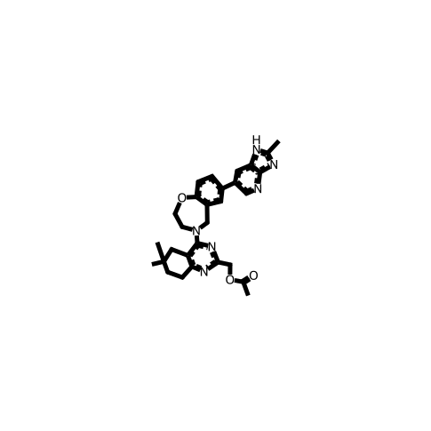 CC(=O)OCc1nc2c(c(N3CCOc4ccc(-c5cnc6nc(C)[nH]c6c5)cc4C3)n1)CC(C)(C)CC2